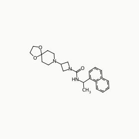 CC(NC(=O)N1CC(N2CCC3(CC2)OCCO3)C1)c1cccc2ccccc12